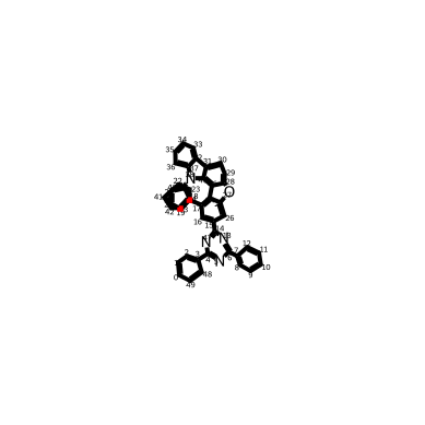 c1ccc(-c2nc(-c3ccccc3)nc(-c3cc(-c4ccccc4)c4c(c3)oc3ccc5c6ccccc6n(-c6ccccc6)c5c34)n2)cc1